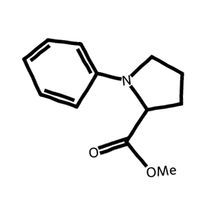 COC(=O)C1CCCN1c1ccccc1